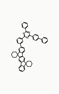 c1ccc(-c2ccc(-c3nc(-c4ccccc4)nc(-c4cccc(-c5ccc6c(c5)C5(CCCCC5)c5cc7c(cc5-6)C5(CCCCC5)c5ccccc5-7)c4)n3)cc2)cc1